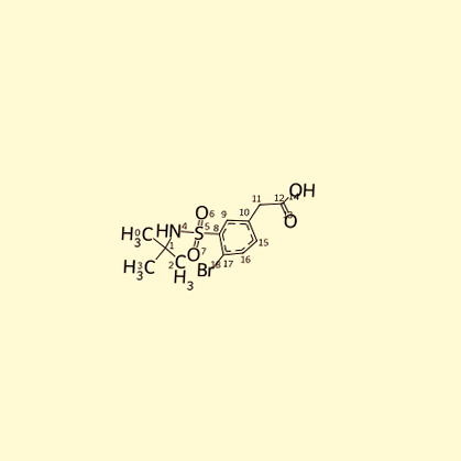 CC(C)(C)NS(=O)(=O)c1cc(CC(=O)O)ccc1Br